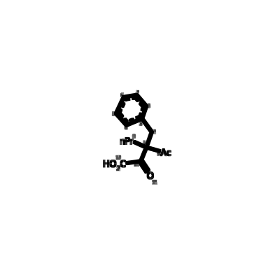 CCCC(Cc1ccccc1)(C(C)=O)C(=O)C(=O)O